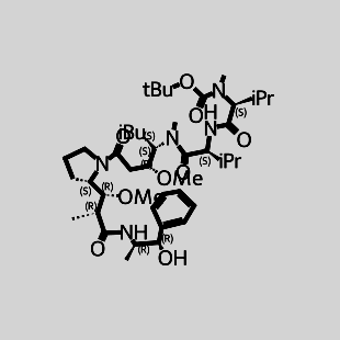 CC[C@H](C)[C@@H]([C@@H](CC(=O)N1CCC[C@H]1[C@H](OC)[C@@H](C)C(=O)N[C@H](C)[C@H](O)c1ccccc1)OC)N(C)C(=O)[C@@H](NC(=O)[C@H](C(C)C)N(C)C(=O)OC(C)(C)C)C(C)C